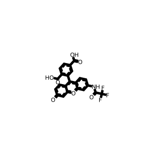 O=C(O)c1ccc(C(=O)O)c(-c2c3ccc(=O)cc-3oc3cc(NC(=O)C(F)(F)F)ccc23)c1